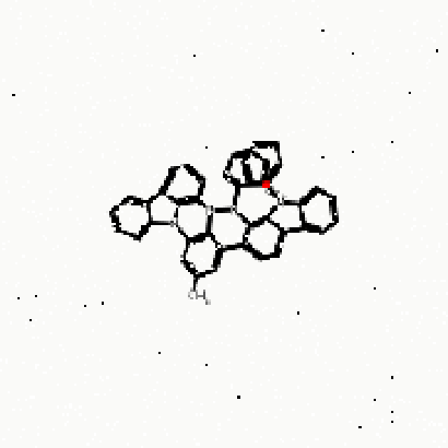 Cc1cc2c3c(c1)-n1c4ccccc4c4cccc(c41)B3N(c1ccccc1C)c1c-2ccc2c3ccccc3n(-c3ccccc3)c12